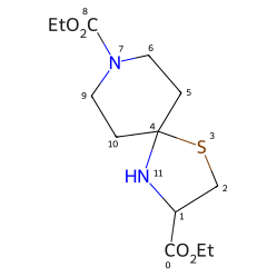 CCOC(=O)C1CSC2(CCN(C(=O)OCC)CC2)N1